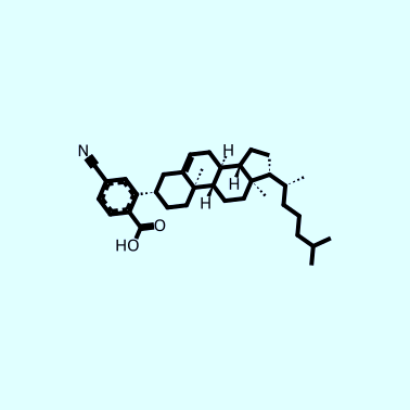 CC(C)CCC[C@@H](C)[C@H]1CC[C@H]2[C@@H]3CC=C4C[C@@H](c5cc(C#N)ccc5C(=O)O)CC[C@]4(C)[C@H]3CC[C@]12C